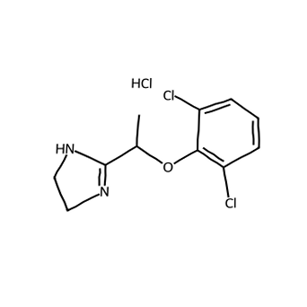 CC(Oc1c(Cl)cccc1Cl)C1=NCCN1.Cl